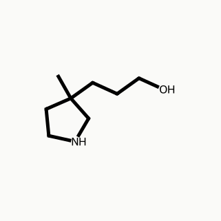 CC1(CCCO)CCNC1